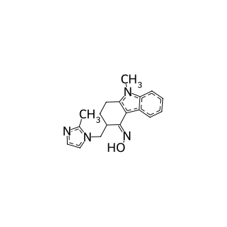 Cc1nccn1CC1CCc2c(c3ccccc3n2C)C1=NO